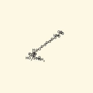 CC(C)[C@H](NC(=O)CCOCCOCCOCCOCCOCCOCCOCCOCCNC(=O)CCN1C(=O)C=CC1=O)C(=O)N[C@@H](CCCNC(N)=O)C(=O)O